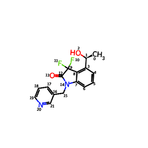 C[C@H](O)c1cccc2c1C(F)(F)C(=O)N2Cc1cccnc1